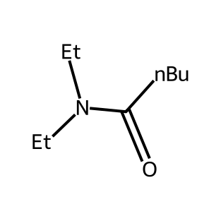 CCCCC(=O)N(CC)CC